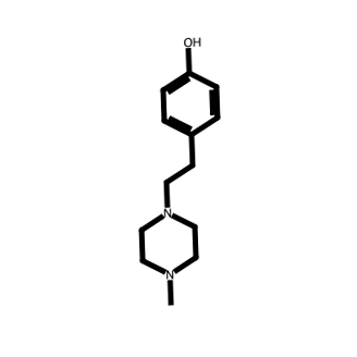 CN1CCN(CCc2ccc(O)cc2)CC1